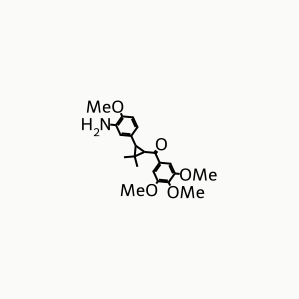 COc1ccc(C2C(C(=O)c3cc(OC)c(OC)c(OC)c3)C2(C)C)cc1N